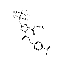 COC(=O)[C@@H]1C[C@@H](O[Si](C)(C)C(C)(C)C)CN1C(=O)OCc1ccc([N+](=O)[O-])cc1